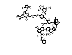 COCCN(CCOC12CC3(C)CC(C)(CC(Cn4ncc(-c5ccc(N6CCc7c(OC)ccc(C(=O)Nc8nc9ccccc9s8)c7C6)nc5C(=O)O)c4C)(C3)C1)C2)C(=O)OCc1ccc(OCCOCCNC(=O)[C@H](CS(=O)(=O)O)NC(=O)CCN2C(=O)C=CC2=O)cc1O[C@H]1C[C@@H](O)C[C@@H](C(=O)O)O1